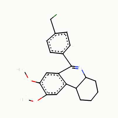 COc1cc2c(cc1OC)C1CCCCC1N=C2c1ccc(CCl)cc1